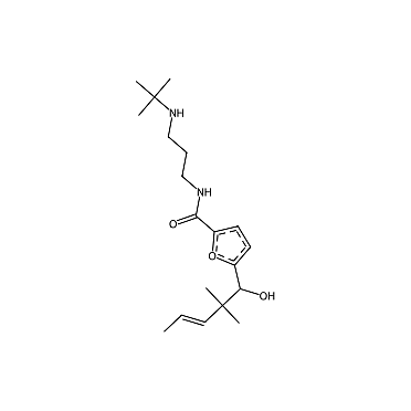 CC=CC(C)(C)C(O)c1ccc(C(=O)NCCCNC(C)(C)C)o1